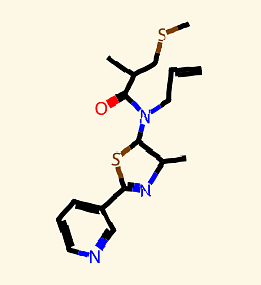 C=CCN(C(=O)C(C)CSC)C1SC(c2cccnc2)=NC1C